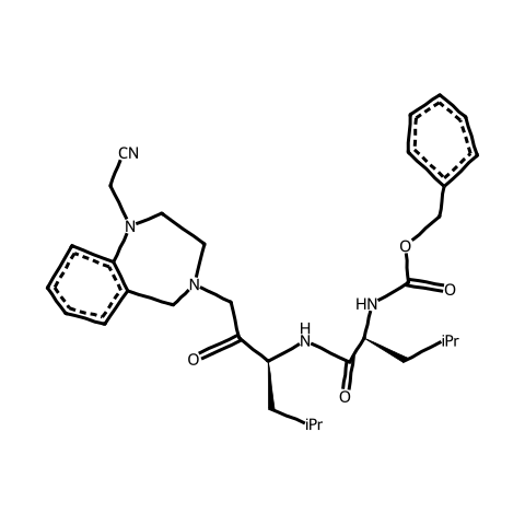 CC(C)C[C@H](NC(=O)[C@H](CC(C)C)NC(=O)OCc1ccccc1)C(=O)CN1CCN(CC#N)c2ccccc2C1